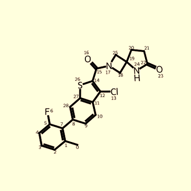 Cc1cccc(F)c1-c1ccc2c(Cl)c(C(=O)N3CC4(CCC(=O)N4)C3)sc2c1